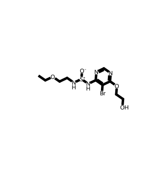 CCOCCN[S+]([O-])Nc1ncnc(OCCO)c1Br